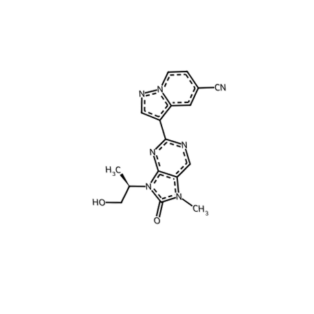 C[C@H](CO)n1c(=O)n(C)c2cnc(-c3cnn4ccc(C#N)cc34)nc21